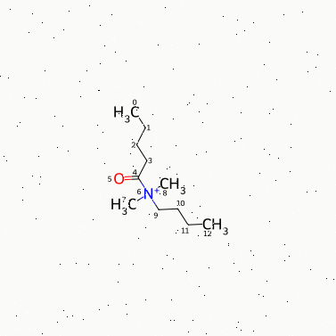 CCCCC(=O)[N+](C)(C)CCCC